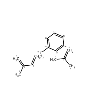 C=C(C)C.C=CC(=C)C.Cc1ccccc1